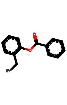 CC(C)Cc1ccccc1OC(=O)c1ccccc1